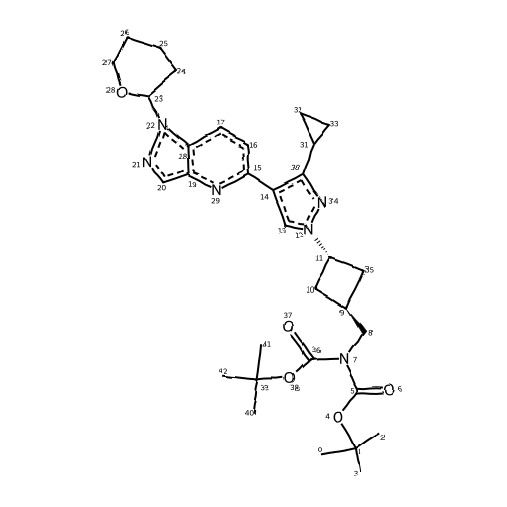 CC(C)(C)OC(=O)N(C[C@H]1C[C@H](n2cc(-c3ccc4c(cnn4C4CCCCO4)n3)c(C3CC3)n2)C1)C(=O)OC(C)(C)C